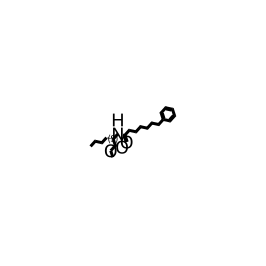 CCCC[C@H](NC(=O)CCCCCCc1ccccc1)C(=O)OC